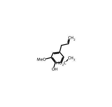 C=CCc1ccc(O)c(OC)c1.CC(=O)O